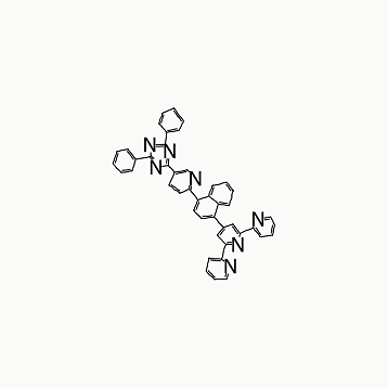 c1ccc(-c2nc(-c3ccccc3)nc(-c3ccc(-c4ccc(-c5cc(-c6ccccn6)nc(-c6ccccn6)c5)c5ccccc45)nc3)n2)cc1